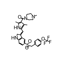 Cc1[nH]c(/C=C2\CNc3ccc(S(=O)(=O)Cc4ccc(OC(F)(F)F)cc4)cc32)c(C)c1C(=O)N1CCN(C)CC1